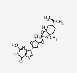 C=C(C)[C@H]1CC[C@@]2(C)S[P@](=S)(O[C@H]3C[C@H](n4cnc5c(=O)[nH]c(O)nc54)O[C@@H]3CC)O[C@@H]2C1